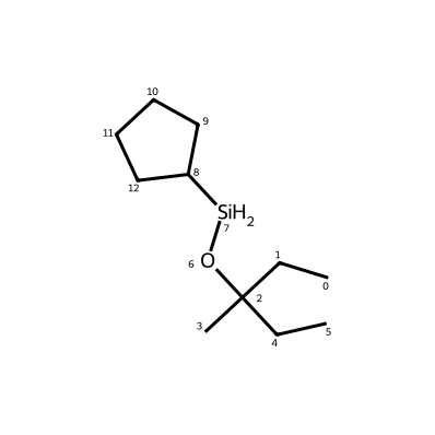 CCC(C)(CC)O[SiH2]C1CCCC1